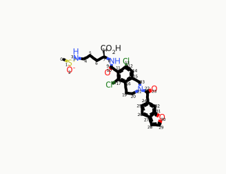 C[S+]([O-])NCCC[C@H](NC(=O)c1c(Cl)cc2c(c1Cl)CCN(C(=O)c1ccc3ccoc3c1)C2)C(=O)O